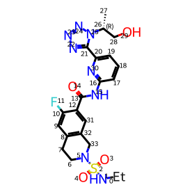 CCNS(=O)(=O)N1CCc2cc(F)c(C(=O)Nc3cccc(-c4nnnn4[C@H](C)CO)n3)cc2C1